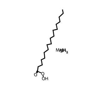 CCCCCCCCCCCCCCCCCC(=O)OO.[AlH3].[MgH2]